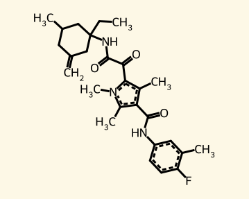 C=C1CC(C)CC(CC)(NC(=O)C(=O)c2c(C)c(C(=O)Nc3ccc(F)c(C)c3)c(C)n2C)C1